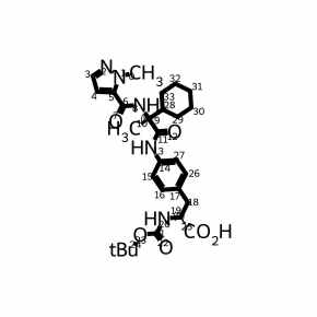 Cn1nccc1C(=O)N[C@@](C)(C(=O)Nc1ccc(C[C@@H](NC(=O)OC(C)(C)C)C(=O)O)cc1)C1CCCCC1